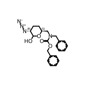 [N-]=[N+]=N[C@@H]1CC[C@@H](CN(Cc2ccccc2)C(=O)OCc2ccccc2)OC1O